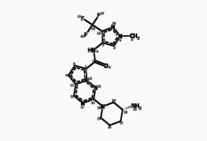 Cn1cc(NC(=O)c2ccc3cnc(N4CCC[C@@H](N)C4)nn23)c(C(F)(F)F)n1